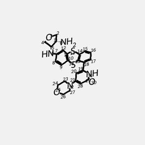 N[C@H]1COC[C@H]1Nc1ccc2c(c1)Sc1cccc(-c3cc(N4CCOCC4)cc(=O)[nH]3)c1S2